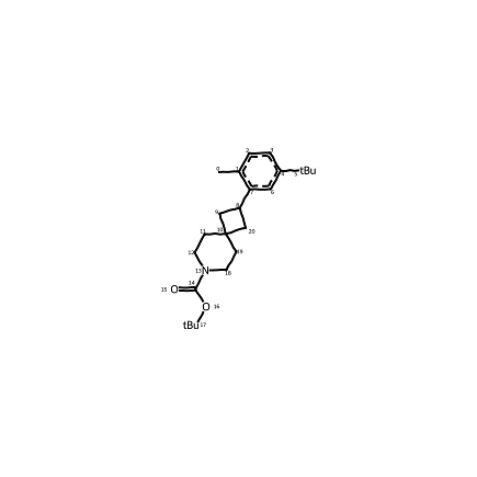 Cc1ccc(C(C)(C)C)cc1C1CC2(CCN(C(=O)OC(C)(C)C)CC2)C1